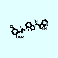 [2H]C(c1c[nH]c2ncccc12)N1CCc2c(NC(=O)Nc3cc(Cl)ccc3OC)cccc21